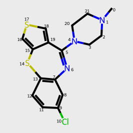 CN1CCN(C2=Nc3cc(Cl)ccc3Sc3cscc32)CC1